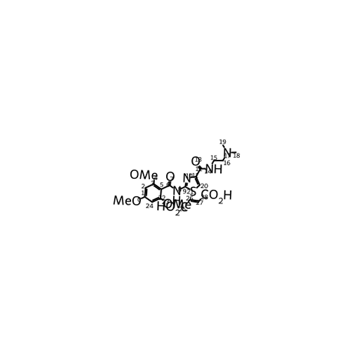 COc1cc(OC)c(C(=O)Nc2nc(C(=O)NCCN(C)C)cs2)c(OC)c1.O=C(O)C=CC(=O)O